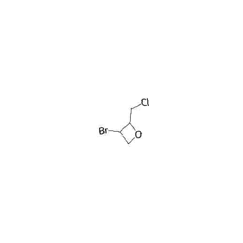 ClCC1OCC1Br